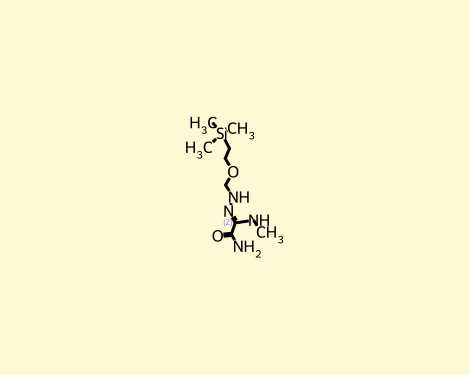 CN/C(=N\NCOCC[Si](C)(C)C)C(N)=O